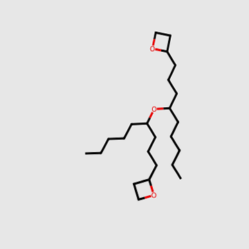 CCCCCC(CCCC1CCO1)OC(CCCCC)CCCC1CCO1